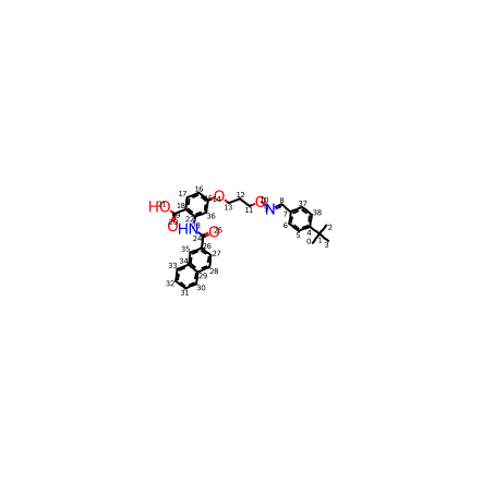 CC(C)(C)c1ccc(C=NOCCCOc2ccc(C(=O)O)c(NC(=O)c3ccc4ccccc4c3)c2)cc1